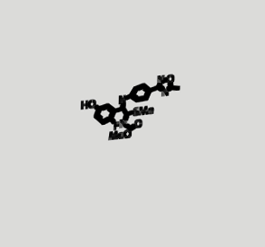 COC(=O)/N=C(SC)/C(=N\c1ccc(-c2noc(C)n2)cc1)c1cc(O)ccc1F